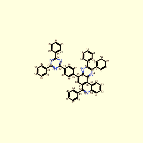 C1=CC(c2nc3c(nc2-c2ccccc2)c(-c2ccc(-c4nc(-c5ccccc5)nc(-c5ccccc5)n4)cc2)cc2c(-c4ccccc4)nc4ccccc4c23)=CCC1